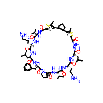 Cc1sc2cc1C1=C(CCC1)c1cc(sc1C)C(=O)N[C@@H](C(C)C)C(=O)N[C@@H](CCCN)C(=O)NC(CC(C)C)C(=O)N[C@H](Cc1ccccc1)C(=O)N1CCC[C@H]1C(=O)N[C@@H](C(C)C)C(=O)N[C@@H](CCCN)C(=O)N[C@@H](CC(C)C)C(=O)NNC2=O